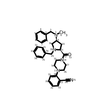 CN(Cc1ccccc1)[C@H]1C[C@@H](C(=O)N2CCN(c3ccccc3C#N)CC2)N(Cc2ccccc2)C1